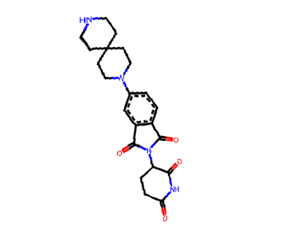 O=C1CCC(N2C(=O)c3ccc(N4CCC5(CCNCC5)CC4)cc3C2=O)C(=O)N1